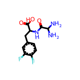 NC(N)C(=O)NC(Cc1ccc(F)c(F)c1)C(=O)O